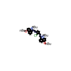 CCCCOc1ccc2c3c(cccc13)C(/C=C/C1=C(Cl)C(=C/C=c3\c4cccc5c(OCCCC)ccc(c54)n3CCCC)/CC1)=[N+]2CCCC